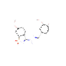 COc1ccc2c(c1)S(=O)(=O)N=C2N(C)N=Cc1ccc(O)c(OC)c1